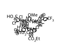 CCOC(=O)C1=NN(c2ccc(Cl)cc2Cl)C(C)(C(=O)OCC)C1.COC(=O)c1ccc(CNS(C)(=O)=O)cc1S(=O)(=O)NC(=O)Nc1nc(OC)cc(OC)n1.Cc1nn(C)c(O)c1C(=O)c1ccc(C(F)(F)F)cc1S(C)(=O)=O.Nc1cc(Cl)nc(C(=O)O)c1Cl